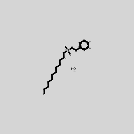 CCCCCCCCCCCC[N+](C)(C)CCc1ccccc1.[OH-]